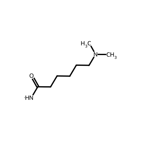 CN(C)CCCCCC([NH])=O